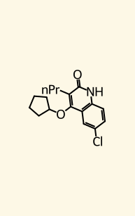 CCCc1c(OC2CCCC2)c2cc(Cl)ccc2[nH]c1=O